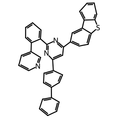 c1ccc(-c2ccc(-c3cc(-c4ccc5sc6ccccc6c5c4)nc(-c4ccccc4-c4cccnc4)n3)cc2)cc1